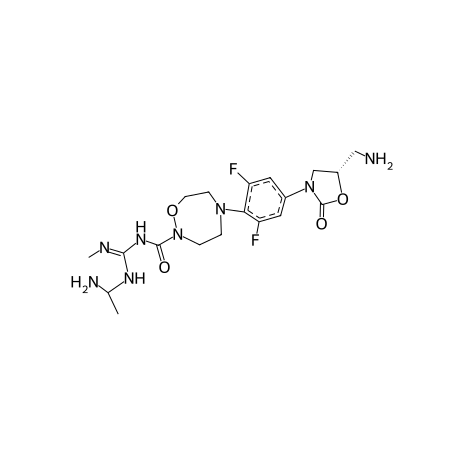 C/N=C(/NC(=O)N1CCN(c2c(F)cc(N3C[C@H](CN)OC3=O)cc2F)CCO1)NC(C)N